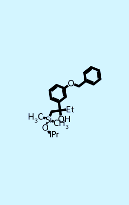 CCC(O)(C[Si](C)(C)OC(C)C)c1cccc(OCc2ccccc2)c1